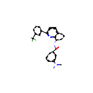 CN(C)c1cccc(C(=O)Nc2cccc3ccc(-c4cccc(C(F)(F)F)c4)nc23)c1